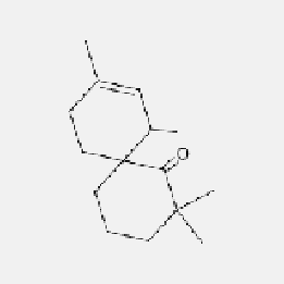 CC1=CC(C)C2(CCCC(C)(C)C2=O)CC1